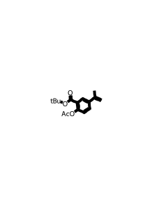 C=C(C)c1ccc(OC(C)=O)c(C(=O)OC(C)(C)C)c1